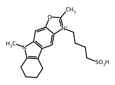 Cc1oc2cc3c(cc2[n+]1CCCCS(=O)(=O)O)c1c(n3C)CCCC1